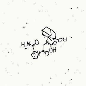 NC(=O)[C@@H]1CCCN1C(=O)CN(C(=O)O)C12CC3CC(CC(O)(C3)C1)C2